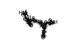 Cc1cc(C)c(CNC(=O)c2cc3cc(-c4ccc(OCC5CN(C(C)c6c(C)c(C(=O)NCc7c(C)cc(C)[nH]c7=O)cc7cc(-c8ccc(N9CCOCC9)cc8)cn67)CCO5)cc4F)cn3c(C(C)N3CCOCC3)c2C)c(=O)[nH]1